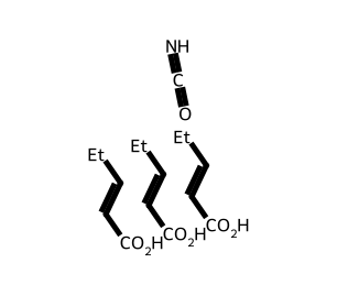 CCC=CC(=O)O.CCC=CC(=O)O.CCC=CC(=O)O.N=C=O